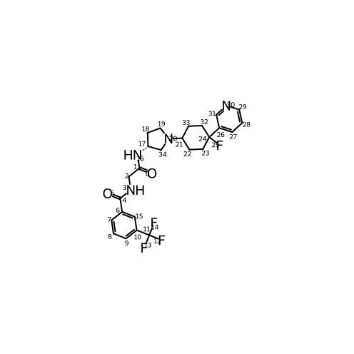 O=C(CNC(=O)c1cccc(C(F)(F)F)c1)N[C@@H]1CCN(C2CCC(F)(c3cccnc3)CC2)C1